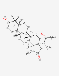 CNC(=O)C(OC(C)=O)[C@@]12CC[C@]3(C)[C@H](CC[C@@H]4[C@@]5(C)CC[C@H](O)C(C)(C)[C@@H]5CC[C@]43C)C1=C(C(C)C)C(=O)C2